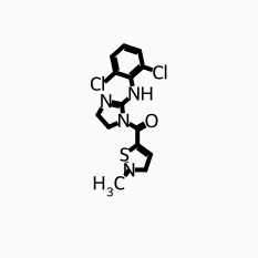 CN1CC=C(C(=O)N2CCN=C2Nc2c(Cl)cccc2Cl)S1